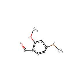 COc1cc(SC)ccc1[C]=O